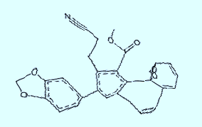 COC(=O)c1c(CCC#N)c(-c2ccc3c(c2)OCO3)cc2c1C13OCOC1C=CC=C3C=C2